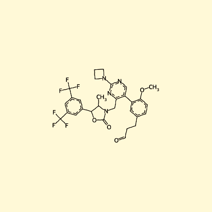 COc1ccc(CCC=O)cc1-c1cnc(N2CCC2)nc1CN1C(=O)OC(c2cc(C(F)(F)F)cc(C(F)(F)F)c2)C1C